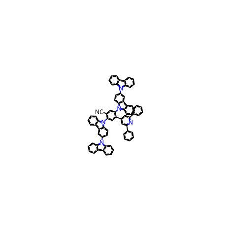 N#Cc1cc(-n2c3ccccc3c3cc(-n4c5ccccc5c5ccccc54)ccc32)c(-c2cc(-c3ccccc3)nc(-c3ccccc3)c2)cc1-n1c2ccccc2c2cc(-n3c4ccccc4c4ccccc43)ccc21